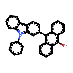 Brc1c2ccccc2c(-c2ccc3c4ccccc4n(-c4ccccc4)c3c2)c2ccccc12